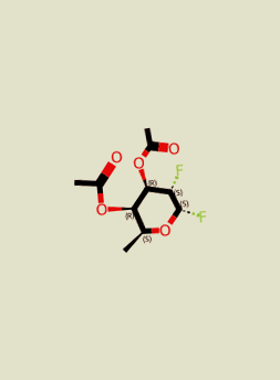 CC(=O)O[C@H]1[C@H](F)[C@H](F)O[C@@H](C)[C@H]1OC(C)=O